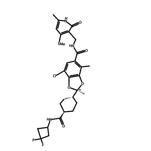 CSc1cc(C)[nH]c(=O)c1CNC(=O)c1cc(Cl)c2c(c1C)O[C@@](C)([C@H]1CC[C@H](C(=O)NC3CC(F)(F)C3)CC1)O2